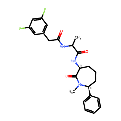 CC(NC(=O)Cc1cc(F)cc(F)c1)C(=O)N[C@H]1CCC[C@@H](c2ccccc2)N(C)C1=O